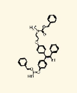 CC/C(=C(/c1ccc(OCCN(C)C(=O)OCc2ccccc2)cc1)c1ccc(OP(O)OCc2ccccc2)cc1)c1ccccc1